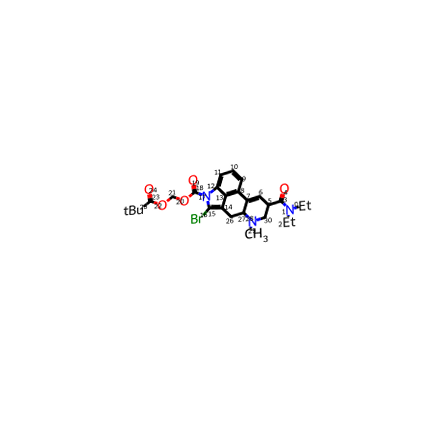 CCN(CC)C(=O)C1C=C2c3cccc4c3c(c(Br)n4C(=O)OCOC(=O)C(C)(C)C)CC2N(C)C1